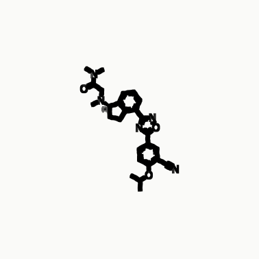 CC(C)Oc1ccc(-c2nc(-c3cccc4c3CC[C@H]4N(C)CC(=O)N(C)C)no2)cc1C#N